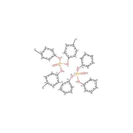 Cc1ccc(OP(=O)(Oc2ccc(C)cc2)Oc2ccc(C)cc2)cc1.O=P(Oc1ccccc1)(Oc1ccccc1)Oc1ccccc1